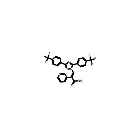 NC(=O)/C(=C/n1nc(-c2ccc(C(F)(F)F)cc2)nc1-c1ccc(C(F)(F)F)cc1)c1cccnc1